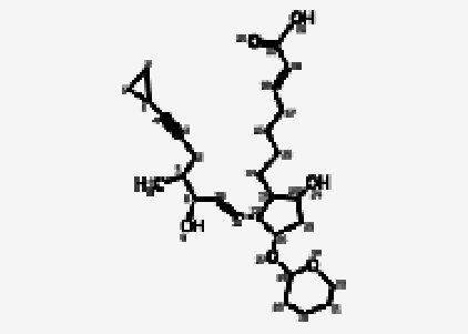 C[C@@H](CC#CC1CC1)[C@H](O)/C=C/[C@@H]1[C@@H](CCCC/C=C/C(=O)O)[C@@H](O)C[C@H]1OC1CCCCO1